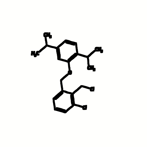 CC(C)c1ccc(C(C)C)c(OCc2cccc(Cl)c2CCl)c1